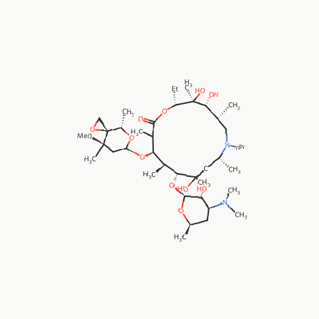 CCCN1C[C@@H](C)[C@@H](O)[C@](C)(O)[C@@H](CC)OC(=O)C(C)[C@H](OC2C[C@@](C)(OC)[C@@]3(CO3)[C@H](C)O2)[C@H](C)[C@@H](O[C@@H]2O[C@H](C)C[C@H](N(C)C)[C@H]2O)[C@](C)(O)C[C@H]1C